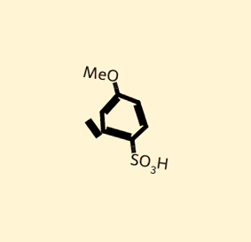 C=C.COc1ccc(S(=O)(=O)O)cc1